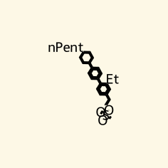 CCCCCC1CCC(c2ccc(-c3ccc(CCOS(C)(=O)=O)cc3CC)cc2)CC1